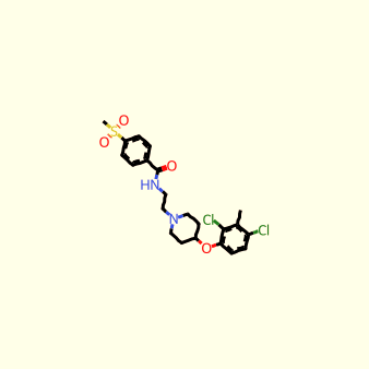 Cc1c(Cl)ccc(OC2CCN(CCNC(=O)c3ccc(S(C)(=O)=O)cc3)CC2)c1Cl